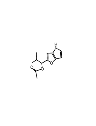 CC(=O)OC(c1cc2[nH]ccc2o1)C(C)C